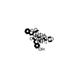 COc1cc(O)ccc1CC(NC(=O)C(C)NC(=O)CN1CCOCC1)C(=O)NC(Cc1ccccc1)C(=O)C1(C)CO1